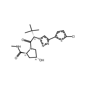 CNC(=O)[C@@H]1C[C@@H](O)CN1C(=O)[C@@H](n1cc(-c2ccc(Cl)s2)nn1)C(C)(C)C